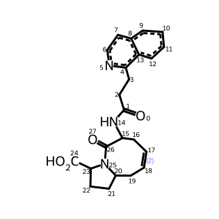 O=C(CCc1nccc2ccccc12)NC1C/C=C\CC2CCC(C(=O)O)N2C1=O